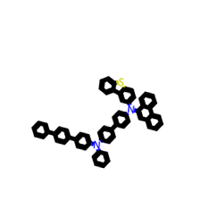 c1ccc(-c2ccc(-c3ccc(N(c4ccccc4)c4ccc(-c5ccc(N(c6ccc7sc8ccccc8c7c6)c6cc7ccccc7c7ccccc67)cc5)cc4)cc3)cc2)cc1